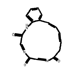 O=C1/C=N\C(=O)C/C=C\C=C/c2ccccc2NC(=O)/C=N\1